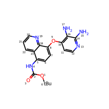 CC(C)(C)OC(=O)Nc1ccc(Oc2ccnc(N)c2N)c2ncccc12